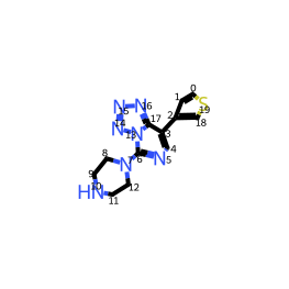 c1cc(-c2cnc(N3CCNCC3)n3nnnc23)cs1